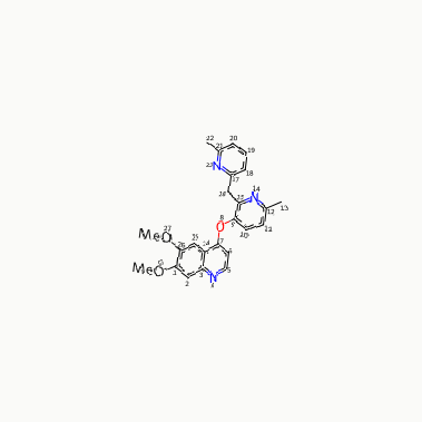 COc1cc2nccc(Oc3ccc(C)nc3Cc3cccc(C)n3)c2cc1OC